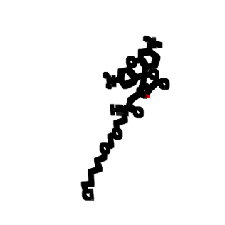 CN(C)c1ccc2c(c1)Oc1cc(N(C)C)ccc1C21OC(=O)c2ccc(CC(=O)NCCOCCOCCCCCCCl)cc21